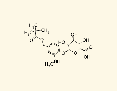 CNc1cc(COC(=O)C(C)(C)C)ccc1O[C@@H]1O[C@H](C(=O)O)[C@@H](O)[C@H](O)[C@H]1O